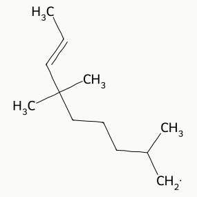 [CH2]C(C)CCCC(C)(C)C=CC